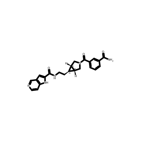 NC(=O)c1cccc(C(=O)N2C[C@@H]3[C@@H](CCNC(=O)c4cc5cnccc5[nH]4)[C@@H]3C2)c1